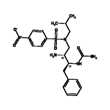 BC(=O)N[C@@H](Cc1ccccc1)[C@H](N)CN(CC(C)C)S(=O)(=O)c1ccc([N+](=O)[O-])cc1